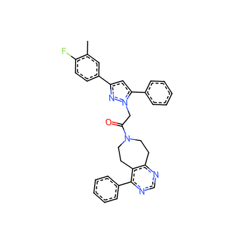 Cc1cc(-c2cc(-c3ccccc3)n(CC(=O)N3CCc4ncnc(-c5ccccc5)c4CC3)n2)ccc1F